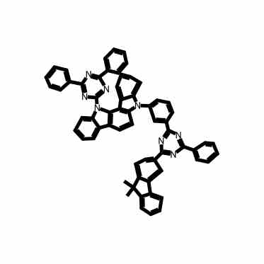 CC1(C)c2ccccc2-c2cc(-c3nc(-c4ccccc4)nc(-c4cccc(-n5c6ccccc6c6c5ccc5c7ccccc7n(-c7nc(-c8ccccc8)nc(-c8ccccc8)n7)c56)c4)n3)ccc21